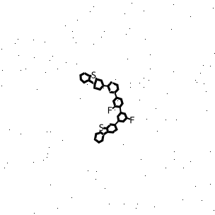 Fc1cc(-c2ccc3c(c2)sc2ccccc23)cc(-c2ccc(-c3cccc(-c4ccc5c(c4)sc4ccccc45)c3)cc2F)c1